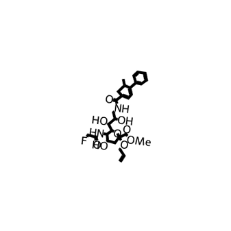 C=CCOC1(C(=O)OC)CC(O)C(NC(=O)CF)C([C@@H](O)C(O)CNC(=O)C2=CC=C(c3ccccc3)C(C)C2)O1